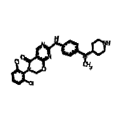 CN(c1ccc(Nc2ncc3c(n2)OCN(c2c(Cl)cccc2Cl)C3=O)cc1)C1CCNCC1